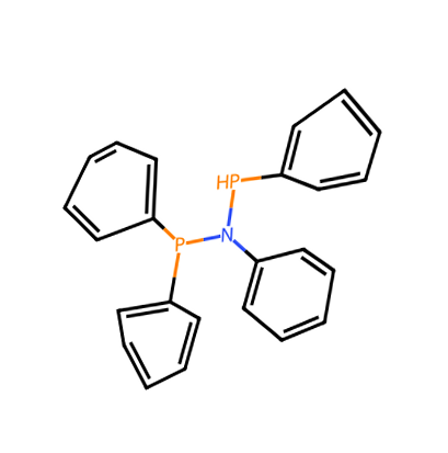 c1ccc(PN(c2ccccc2)P(c2ccccc2)c2ccccc2)cc1